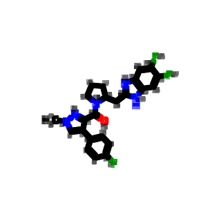 Cn1cc(-c2ccc(F)cc2)c(C(=O)N2CCCC2Cc2nc3cc(F)c(F)cc3[nH]2)n1